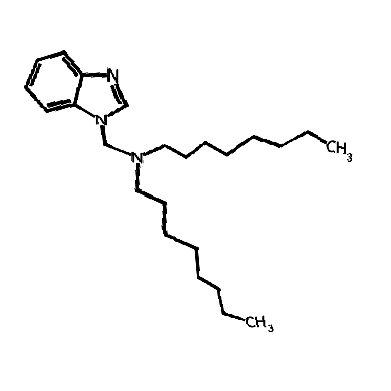 CCCCCCCCN(CCCCCCCC)Cn1cnc2ccccc21